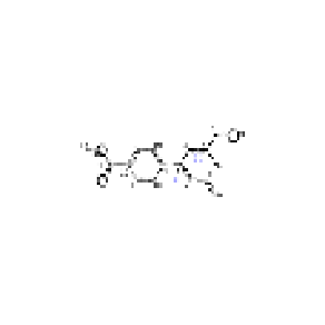 C=C/C=C(\C=C(/C)C=O)c1ccc(C(=O)OC)cc1